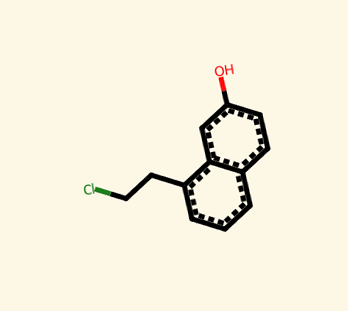 Oc1ccc2cccc(CCCl)c2c1